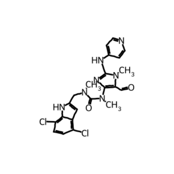 CN(Cc1cc2c(Cl)ccc(Cl)c2[nH]1)C(=O)N(C)c1nc(Nc2ccncc2)n(C)c1C=O